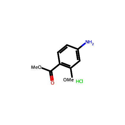 COC(=O)c1ccc(N)cc1OC.Cl